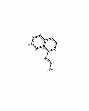 CC(C)/N=N/c1cccc2ccccc12